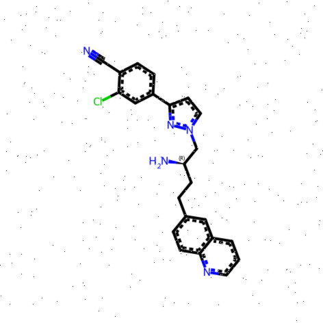 N#Cc1ccc(-c2ccn(C[C@H](N)CCc3ccc4ncccc4c3)n2)cc1Cl